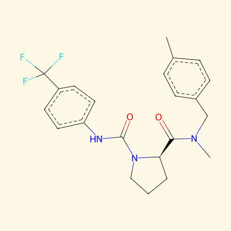 Cc1ccc(CN(C)C(=O)[C@H]2CCCN2C(=O)Nc2ccc(C(F)(F)F)cc2)cc1